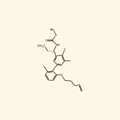 C=CCCCOc1cccc(C)c1-c1cc(C)c(F)c([C@H](CC(=O)OCC)NC(=O)OC(C)(C)C)c1